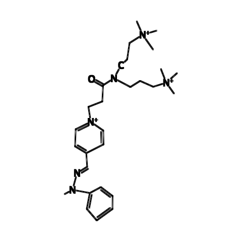 CN(/N=C/c1cc[n+](CCC(=O)N(CCC[N+](C)(C)C)CCC[N+](C)(C)C)cc1)c1ccccc1